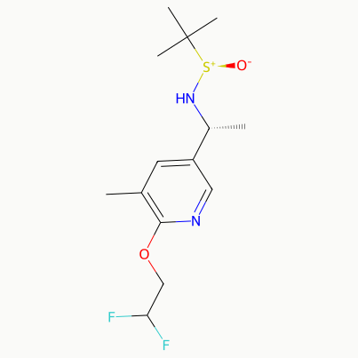 Cc1cc([C@@H](C)N[S@+]([O-])C(C)(C)C)cnc1OCC(F)F